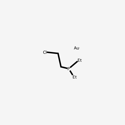 CCP(CC)CCCl.[Au]